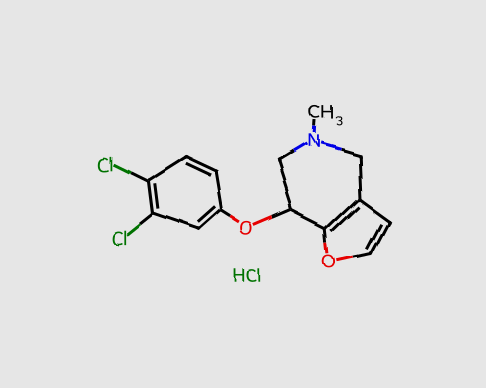 CN1Cc2ccoc2C(Oc2ccc(Cl)c(Cl)c2)C1.Cl